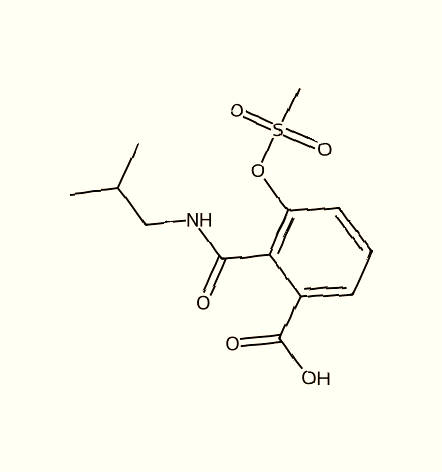 CC(C)CNC(=O)c1c(OS(C)(=O)=O)cccc1C(=O)O